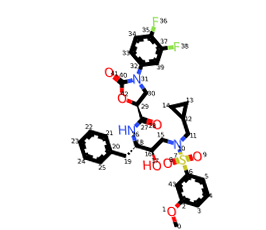 COc1cccc(S(=O)(=O)N(CC2CC2)C[C@@H](O)[C@H](Cc2ccccc2)NC(=O)[C@@H]2CN(c3ccc(F)c(F)c3)C(=O)O2)c1